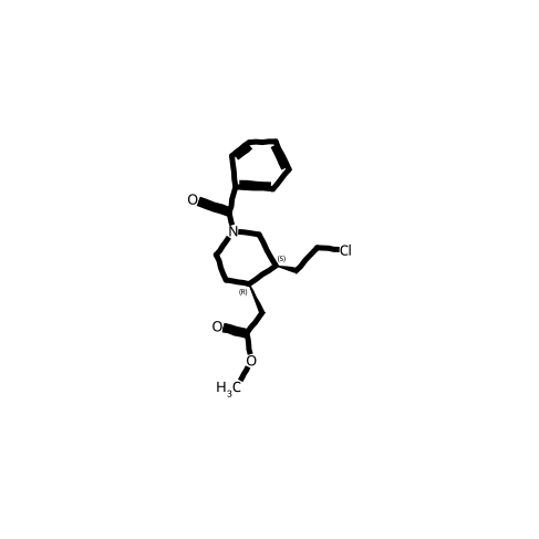 COC(=O)C[C@H]1CCN(C(=O)c2ccccc2)C[C@H]1CCCl